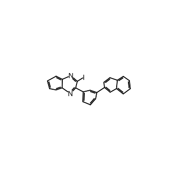 Ic1nc2ccccc2nc1-c1cccc(-c2ccc3ccccc3c2)c1